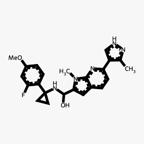 COc1ccc(C2(NC(O)c3cc4ccc(-c5c[nH]nc5C)nc4n3C)CC2)c(F)c1